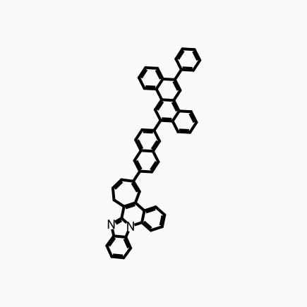 C1=CC(c2ccc3cc(-c4cc5c6ccccc6c(-c6ccccc6)cc5c5ccccc45)ccc3c2)=Cc2c(c3nc4ccccc4n3c3ccccc23)C1